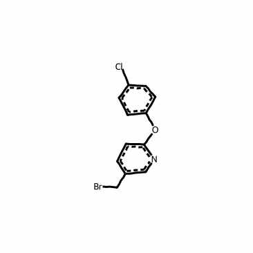 Clc1ccc(Oc2ccc(CBr)cn2)cc1